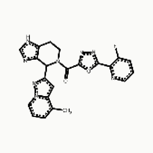 Cc1cccn2nc(C3c4nc[nH]c4CCN3C(=O)c3nnc(-c4ncccc4F)o3)cc12